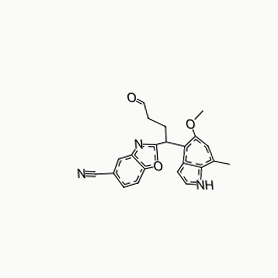 COc1cc(C)c2[nH]ccc2c1C(CCC=O)c1nc2cc(C#N)ccc2o1